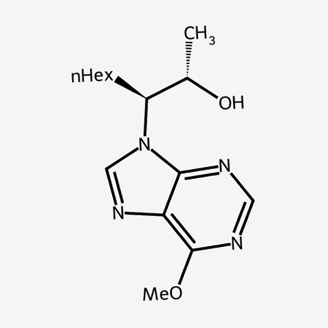 CCCCCC[C@@H]([C@H](C)O)n1cnc2c(OC)ncnc21